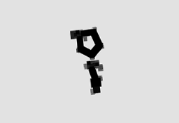 C1CCNC1.N#CN